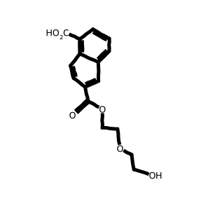 O=C(OCCOCCO)c1ccc2c(C(=O)O)cccc2c1